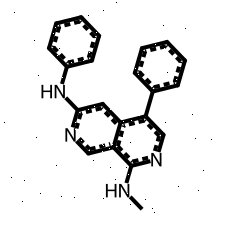 CNc1ncc(-c2ccccc2)c2cc(Nc3ccccc3)ncc12